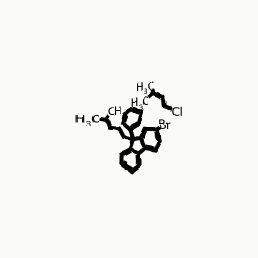 CC(C)=CCCC1(c2ccccc2)c2ccccc2-c2ccc(Br)cc21.CC(C)=CCCl